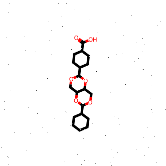 O=C(O)C1CCC(C2OCC3OC(C4CCCCC4)OCC3O2)CC1